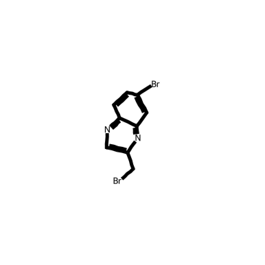 BrCc1cnc2ccc(Br)cc2n1